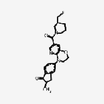 CC1Cc2cc(N3CCOc4cc(C(=O)N5CCCC(CF)C5)cnc43)ccc2C1=O